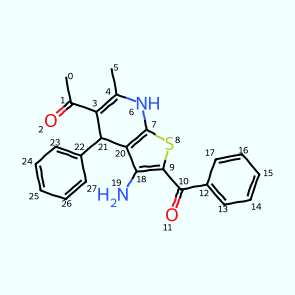 CC(=O)C1=C(C)Nc2sc(C(=O)c3ccccc3)c(N)c2C1c1ccccc1